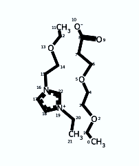 CCOCCOCCC(=O)[O-].CCOCCn1cc[n+](CC)c1